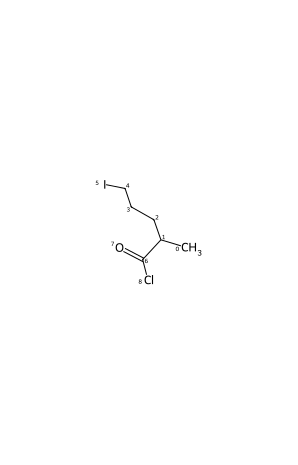 CC(CCCI)C(=O)Cl